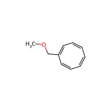 COCC1=CC=CC=CC=C1